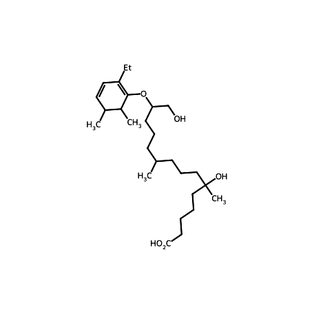 CCC1=C(OC(CO)CCCC(C)CCCC(C)(O)CCCCC(=O)O)C(C)C(C)C=C1